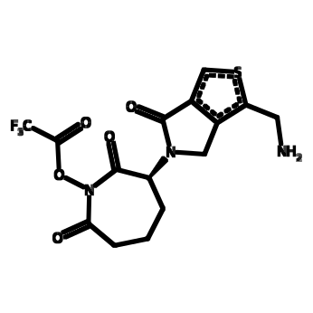 NCc1scc2c1CN([C@H]1CCCC(=O)N(OC(=O)C(F)(F)F)C1=O)C2=O